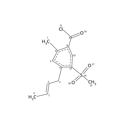 CC=CCc1cc(C)c(C(=O)Cl)cc1S(C)(=O)=O